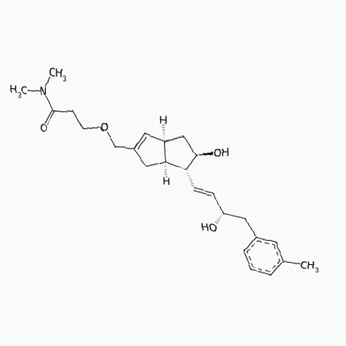 Cc1cccc(C[C@H](O)/C=C/[C@@H]2[C@H]3CC(COCCC(=O)N(C)C)=C[C@H]3C[C@H]2O)c1